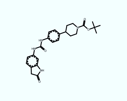 CC(C)(C)OC(=O)N1CCC(c2ccc(NC(=O)Nc3ccc4c(c3)NC(=O)C4)cc2)CC1